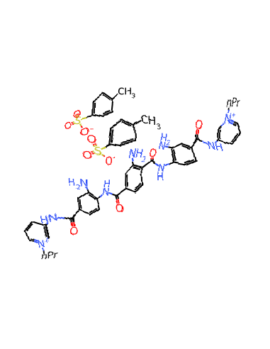 CCC[n+]1cccc(NC(=O)c2ccc(NC(=O)c3ccc(C(=O)Nc4ccc(C(=O)Nc5ccc[n+](CCC)c5)cc4N)c(N)c3)c(N)c2)c1.Cc1ccc(S(=O)(=O)[O-])cc1.Cc1ccc(S(=O)(=O)[O-])cc1